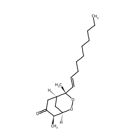 CCCCCCCC/C=C/[C@]1(C)OO[C@@H]2C[C@H]1CC(=O)[C@@H]2C